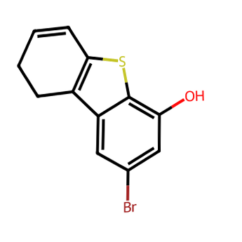 Oc1cc(Br)cc2c3c(sc12)C=CCC3